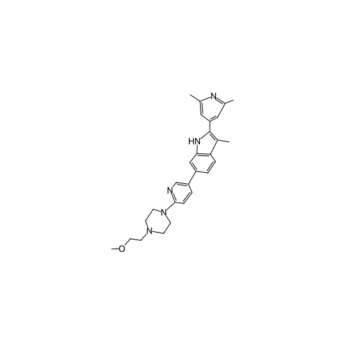 COCCN1CCN(c2ccc(-c3ccc4c(C)c(-c5cc(C)nc(C)c5)[nH]c4c3)cn2)CC1